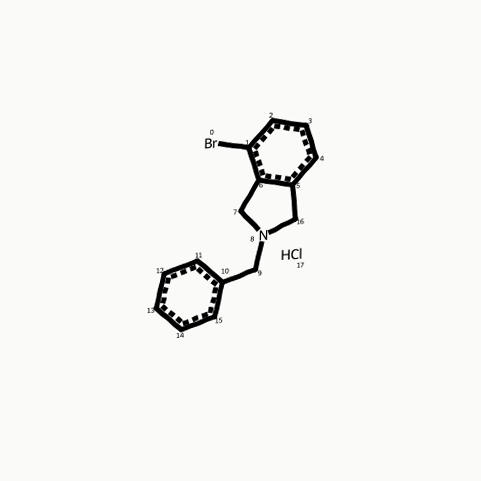 Brc1cccc2c1CN(Cc1ccccc1)C2.Cl